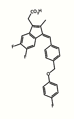 CC1=C(CC(=O)O)c2cc(F)c(F)cc2/C1=C\c1ccc(COc2ccc(F)cc2)cc1